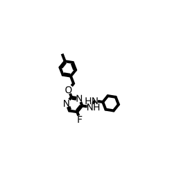 Cc1ccc(COc2ncc(F)c(NNC3CCCCC3)n2)cc1